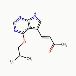 CC(=O)/C=C/c1c[nH]c2ncnc(OCC(C)C)c12